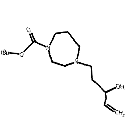 C=CC(O)CCN1CCCN(C(=O)OC(C)(C)C)CC1